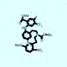 COC(=O)c1cc(F)c(C(F)(F)F)cc1Nc1ccc(F)cc1CCN(CCc1nc(OC)ccc1[N+](=O)[O-])C(=O)OC(C)(C)C